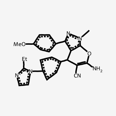 CCc1nccn1-c1ccc(C2C(C#N)=C(N)Oc3c2c(-c2ccc(OC)cc2)nn3C)cc1